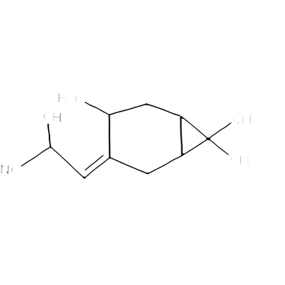 CC(C#N)C=C1CC2C(CC1C)C2(C)C